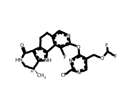 C[C@@H]1CNC(=O)c2c1[nH]c1c2CCc2cnc(Oc3nc(Cl)ncc3COC(F)F)c(F)c2-1